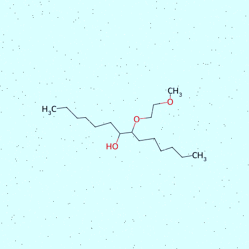 CCCCCCC(O)C(CCCCCC)OCCOC